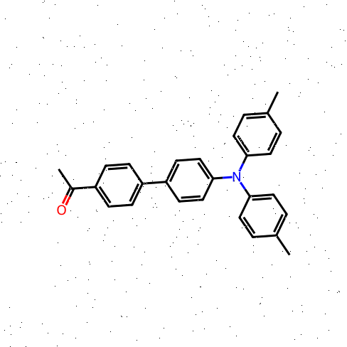 CC(=O)c1ccc(-c2ccc(N(c3ccc(C)cc3)c3ccc(C)cc3)cc2)cc1